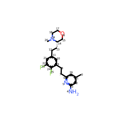 Cc1cc(N)nc(CCc2cc(CC[C@H]3COCCN3C)cc(F)c2F)c1